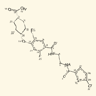 O=C(NCCNC(=O)c1cc(F)c(O[C@H]2CC[C@@H](C(=O)O)CC2)cc1F)c1ccc(Cl)s1